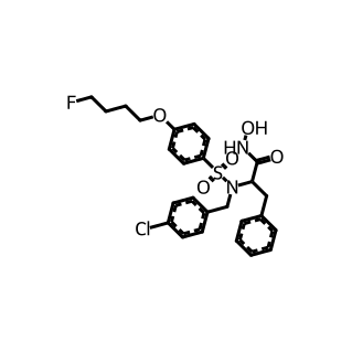 O=C(NO)C(Cc1ccccc1)N(Cc1ccc(Cl)cc1)S(=O)(=O)c1ccc(OCCCCF)cc1